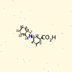 O=C(O)c1cccc(N2Cc3ccccc3C2)c1